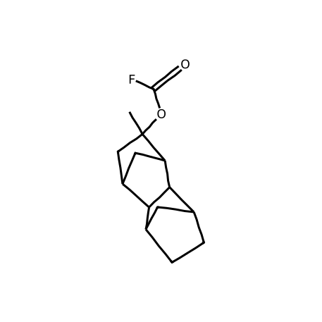 CC1(OC(=O)F)CC2CC1C1C3CCC(C3)C21